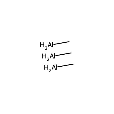 [CH3][AlH2].[CH3][AlH2].[CH3][AlH2]